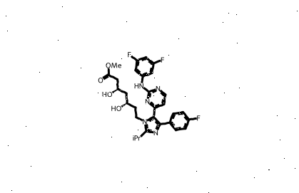 COC(=O)C[C@H](O)C[C@H](O)CCn1c(C(C)C)nc(-c2ccc(F)cc2)c1-c1ccnc(Nc2cc(F)cc(F)c2)n1